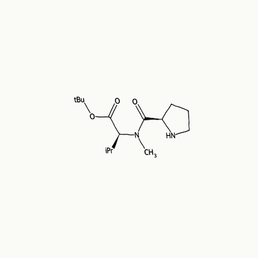 CC(C)[C@@H](C(=O)OC(C)(C)C)N(C)C(=O)[C@H]1CCCN1